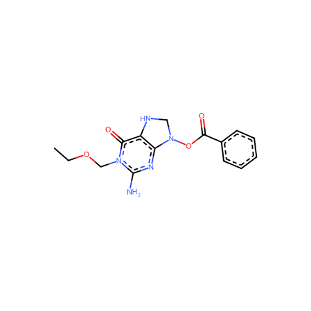 CCOCn1c(N)nc2c(c1=O)NCN2OC(=O)c1ccccc1